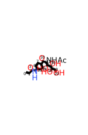 C=CC(=O)Nc1ccc(C(=O)[C@H](NC(C)=O)[C@@H](O)[C@H](O)[C@H](O)CO)cc1